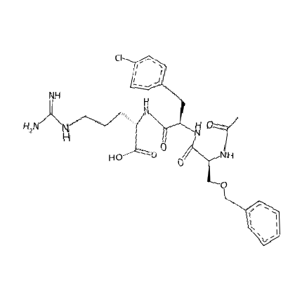 CC(=O)N[C@@H](COCc1ccccc1)C(=O)N[C@H](Cc1ccc(Cl)cc1)C(=O)N[C@@H](CCCNC(=N)N)C(=O)O